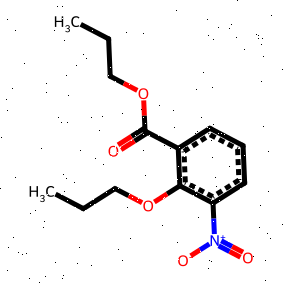 CCCOC(=O)c1cccc([N+](=O)[O-])c1OCCC